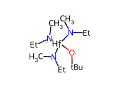 CC[N](C)[Hf]([O]C(C)(C)C)([N](C)CC)[N](C)CC